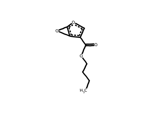 CCCCOC(=O)c1coc2c1O2